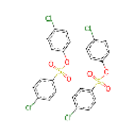 O=S(=O)(Oc1ccc(Cl)cc1)c1ccc(Cl)cc1.O=S(=O)(Oc1ccc(Cl)cc1)c1ccc(Cl)cc1